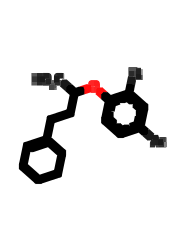 CCc1cc(C(C)=O)ccc1OC(CCC1=CCCCC1)C(=O)O